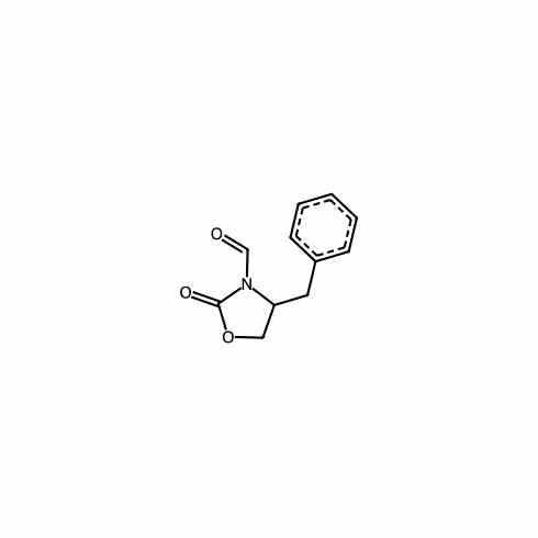 O=CN1C(=O)OCC1Cc1ccccc1